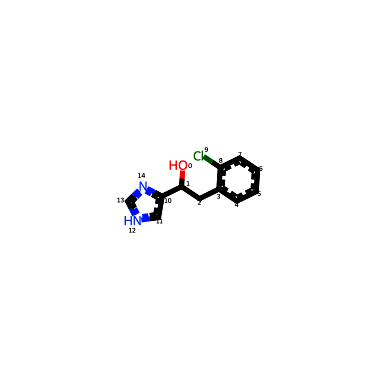 OC(Cc1ccccc1Cl)c1c[nH]cn1